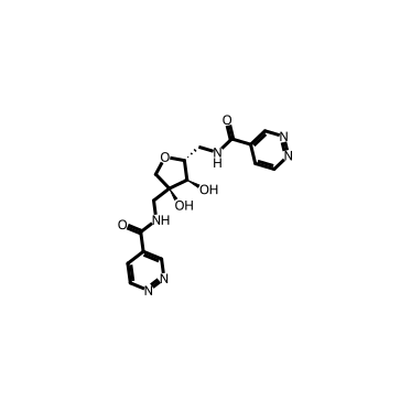 O=C(NC[C@H]1OC[C@@](O)(CNC(=O)c2ccnnc2)[C@@H]1O)c1ccnnc1